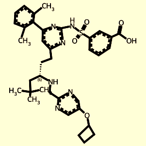 Cc1cccc(C)c1-c1cc(CC[C@@H](CC(C)(C)C)NCc2ncc(OC3CCC3)cn2)nc(NS(=O)(=O)c2cccc(C(=O)O)c2)n1